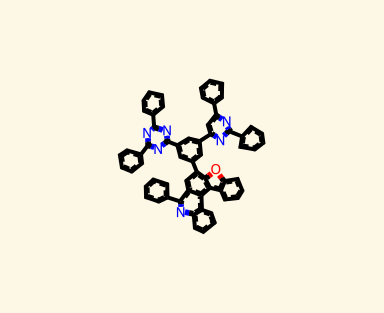 c1ccc(-c2cc(-c3cc(-c4nc(-c5ccccc5)nc(-c5ccccc5)n4)cc(-c4cc5c(-c6ccccc6)nc6ccccc6c5c5c4oc4ccccc45)c3)nc(-c3ccccc3)n2)cc1